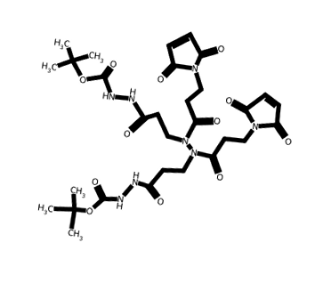 CC(C)(C)OC(=O)NNC(=O)CCN(C(=O)CCN1C(=O)C=CC1=O)N(CCC(=O)NNC(=O)OC(C)(C)C)C(=O)CCN1C(=O)C=CC1=O